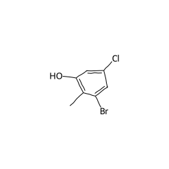 Cc1c(O)cc(Cl)cc1Br